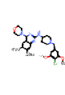 CCOc1cc(CN2CCC(Nc3nc(N4CCOCC4)c4cc(OC)c(OC)cc4n3)CC2)cc(OCC)c1Cl